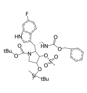 CC(C)(C)OC(=O)N1CC(O[Si](C)(C)C(C)(C)C)C(OS(C)(=O)=O)C1[C@@H](CNC(=O)OCc1ccccc1)c1c[nH]c2cc(F)ccc12